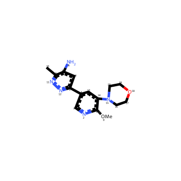 COc1ncc(-c2cc(N)c(C)nn2)cc1N1CCOCC1